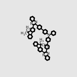 CC1(C)c2ccccc2-c2ccc(-c3nc4ccccc4nc3-c3ccc(-c4ccc(N(c5ccccc5)c5ccc(-c6ccc(-c7nc8ccccc8nc7-c7ccc8c(c7)C(C)(C)c7ccccc7-8)cc6)cc5)cc4)cc3)cc21